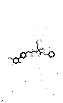 CCOCC(C)(CC[C@H](N)Cc1ccc(-c2cc(Cl)ccc2F)cc1)C(=O)OCc1ccccc1